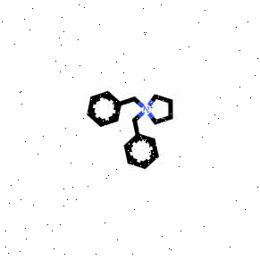 c1ccc(C[N+]2(Cc3ccccc3)CCCC2)cc1